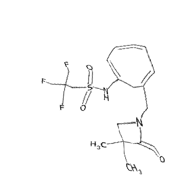 CC1(C)CN(Cc2ccccc2NS(=O)(=O)C(F)(F)F)C1=O